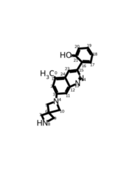 Cc1cc(N2CC3(CNC3)C2)cc2nnc(-c3ccccc3O)cc12